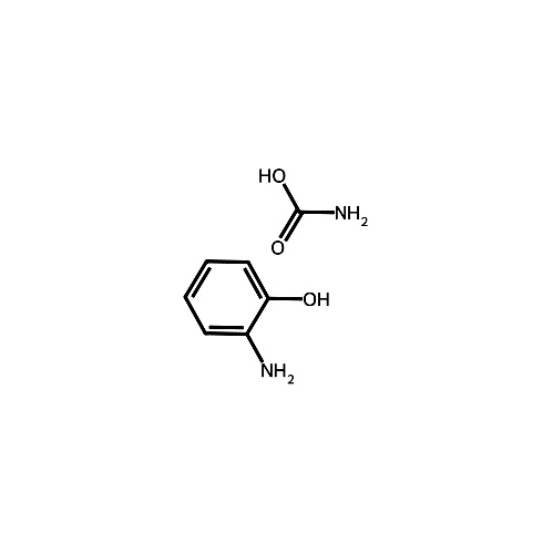 NC(=O)O.Nc1ccccc1O